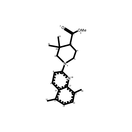 COC(=O)C1CCN(c2ccc3c(C)ccc(C)c3n2)CC1(C)C